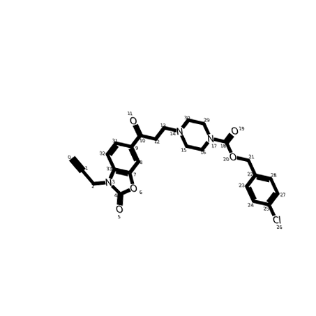 C#CCn1c(=O)oc2cc(C(=O)CCN3CCN(C(=O)OCc4ccc(Cl)cc4)CC3)ccc21